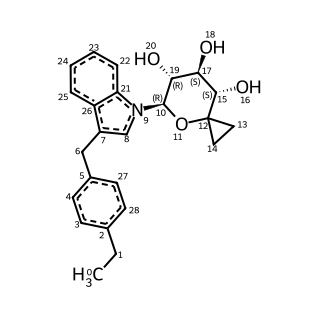 CCc1ccc(Cc2cn([C@@H]3OC4(CC4)[C@@H](O)[C@H](O)[C@H]3O)c3ccccc23)cc1